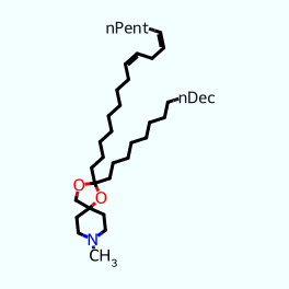 CCCCC/C=C\C/C=C\CCCCCCCCC1(CCCCCCCCCCCCCCCCCC)OCC2(CCN(C)CC2)O1